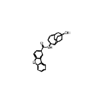 O=C(NC1CCC2CC3CC(O)(C2)CC31)c1ccc2oc3ccccc3c2c1